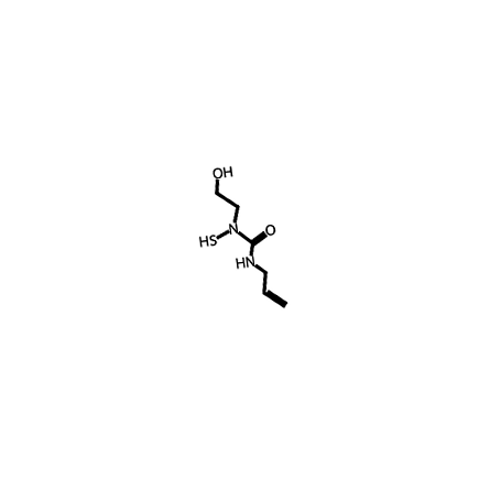 C=CCNC(=O)N(S)CCO